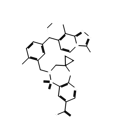 Cc1ccc([C@H](CC(=O)O)c2ccn3c(C(F)(F)F)nnc3c2C)cc1CN1CC2(CC2)Oc2ncc(C(N)=O)cc2S1(=O)=O